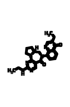 CCNc1ncc2c(n1)N1CCC[C@H]1CN(c1cccc3c(=O)n(CC)cnc13)C2=O